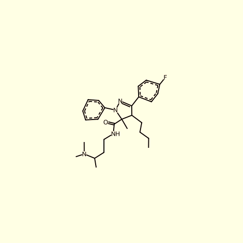 CCCCC1C(c2ccc(F)cc2)=NN(c2ccccc2)C1(C)C(=O)NCCC(C)N(C)C